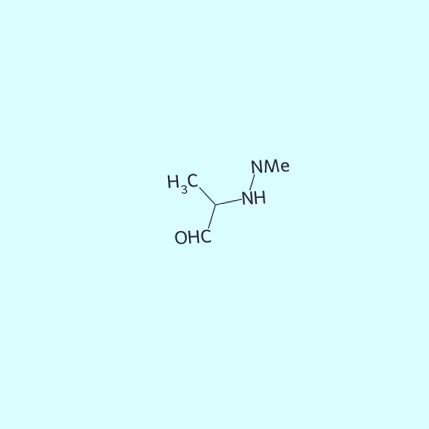 CNNC(C)C=O